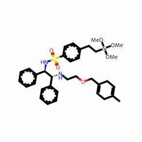 CO[Si](CCc1ccc(S(=O)(=O)N[C@H](c2ccccc2)[C@H](NCCOCC2=CCC(C)=CC2)c2ccccc2)cc1)(OC)OC